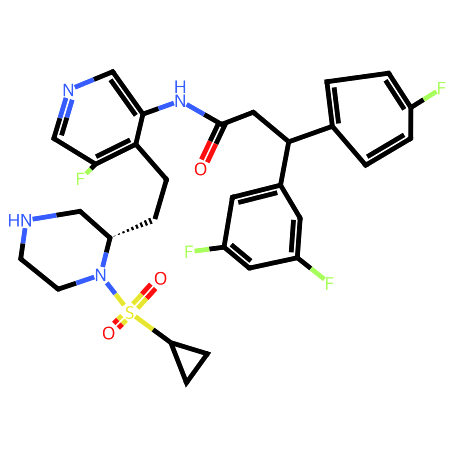 O=C(CC(c1ccc(F)cc1)c1cc(F)cc(F)c1)Nc1cncc(F)c1CC[C@H]1CNCCN1S(=O)(=O)C1CC1